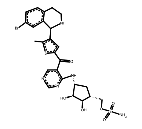 Cc1sc(C(=O)c2cncnc2N[C@@H]2C[C@H](COS(N)(=O)=O)[C@@H](O)[C@H]2O)cc1[C@@H]1NCCc2ccc(Br)cc21